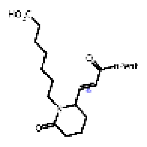 CCCCCC(=O)/C=C/C1CCCC(=O)N1CCCCCCC(=O)O